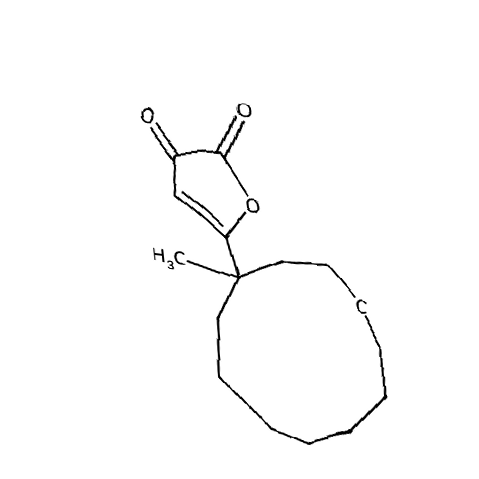 CC1(C2=CC(=O)C(=O)O2)CCCCCCCCCC1